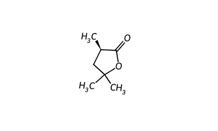 C[C@@H]1CC(C)(C)OC1=O